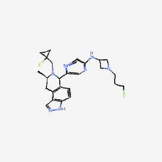 C[C@@H]1Cc2c(ccc3[nH]ncc23)C(c2cnc(NC3CN(CCCF)C3)cn2)N1CC1(F)CC1